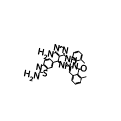 Cc1ccccc1-n1c(CNc2ncnc(N)c2C(=N)c2ccc3nc(N)sc3c2)cc2cccc(C)c2c1=O